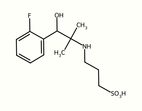 CC(C)(NCCCS(=O)(=O)O)C(O)c1ccccc1F